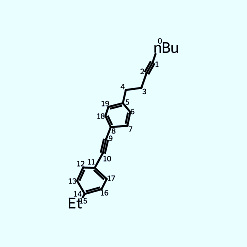 CCCCC#CCCc1ccc(C#Cc2ccc(CC)cc2)cc1